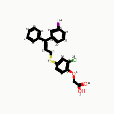 O=C(O)COc1ccc(SC/C=C(/c2ccccc2)c2cccc(I)c2)cc1Cl